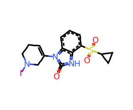 O=c1[nH]c2c(S(=O)(=O)C3CC3)cccc2n1C1=CCCN(I)C1